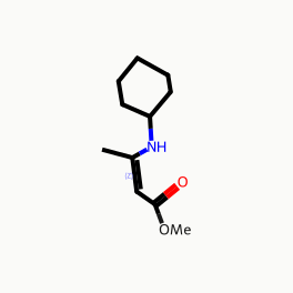 COC(=O)/C=C(/C)NC1CCCCC1